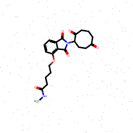 CNC(=O)CCCCOc1cccc2c1C(=O)N(C1CCC(=O)CCCC1=O)C2=O